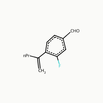 C=C(CCC)c1ccc(C=O)cc1F